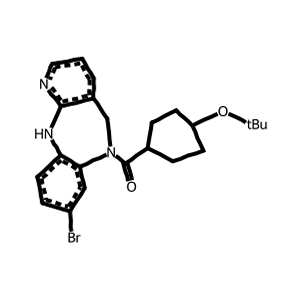 CC(C)(C)OC1CCC(C(=O)N2Cc3cccnc3Nc3ccc(Br)cc32)CC1